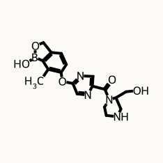 Cc1c(Oc2cnc(C(=O)N3CCNCC3CO)cn2)ccc2c1B(O)OC2